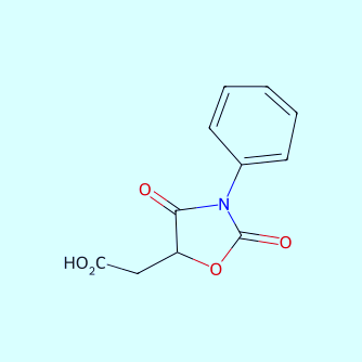 O=C(O)CC1OC(=O)N(c2ccccc2)C1=O